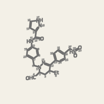 CCC1CC(C=O)N(Cc2ccc(NC(=O)c3cc[nH]n3)cc2)N=C1c1ccc(C[SH](=O)=O)cc1